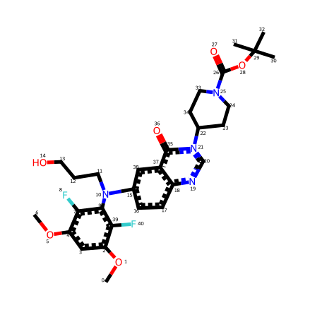 COc1cc(OC)c(F)c(N(CCCO)c2ccc3ncn(C4CCN(C(=O)OC(C)(C)C)CC4)c(=O)c3c2)c1F